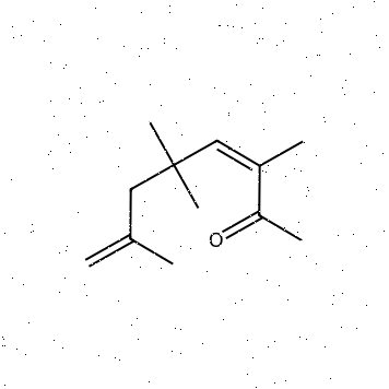 C=C(C)CC(C)(C)C=C(C)C(C)=O